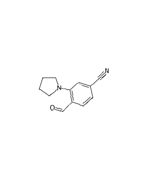 N#Cc1ccc(C=O)c(N2CCCC2)c1